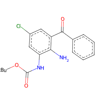 CC(C)(C)OC(=O)Nc1cc(Cl)cc(C(=O)c2ccccc2)c1N